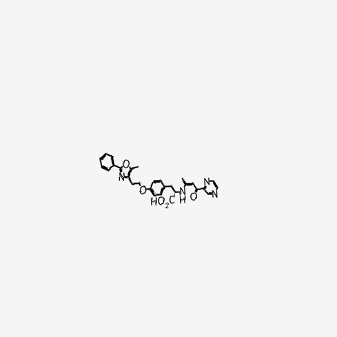 C/C(=C/C(=O)c1cnccn1)N[C@@H](Cc1ccc(OCCc2nc(-c3ccccc3)oc2C)cc1)C(=O)O